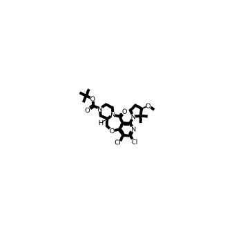 CO[C@@H]1CCN(c2nc(Cl)c(Cl)c3c2C(=O)N2CCN(C(=O)OC(C)(C)C)C[C@@H]2CO3)C1(C)C